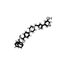 CN(CC12CC3CC(CC(C3)C1)C2)C(=O)c1ccc(N2CCN(Cc3cc(-c4cncc(O)c4)cs3)CC2)cc1